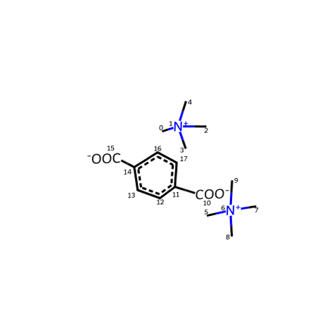 C[N+](C)(C)C.C[N+](C)(C)C.O=C([O-])c1ccc(C(=O)[O-])cc1